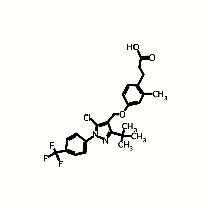 Cc1cc(OCc2c(C(C)(C)C)nn(-c3ccc(C(F)(F)F)cc3)c2Cl)ccc1CCC(=O)O